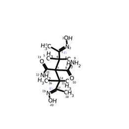 C/C(=N\O)C(C)(C)C(C(N)=O)(C(N)=O)C(C)(C)/C(C)=N/O